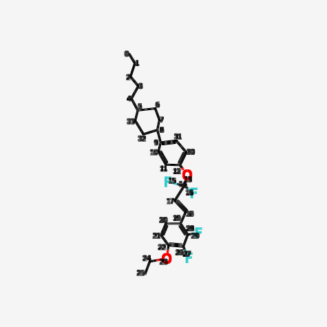 CCCCCC1CCC(c2ccc(OC(F)(F)/C=C/c3ccc(OCC)c(F)c3F)cc2)CC1